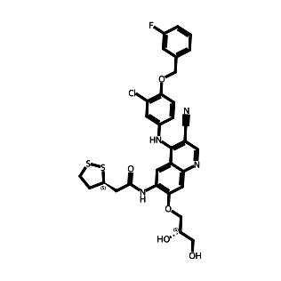 N#Cc1cnc2cc(OC[C@@H](O)CO)c(NC(=O)C[C@H]3CCSS3)cc2c1Nc1ccc(OCc2cccc(F)c2)c(Cl)c1